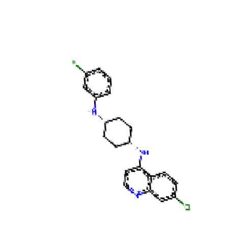 Fc1cccc(N[C@H]2CC[C@@H](Nc3ccnc4cc(Cl)ccc34)CC2)c1